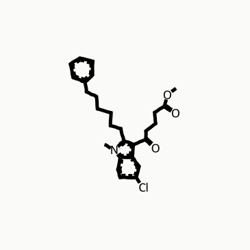 COC(=O)CCCC(=O)c1c(CCCCCCc2ccccc2)n(C)c2ccc(Cl)cc12